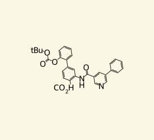 CC(C)(C)OC(=O)Oc1ccccc1-c1ccc(C(=O)O)c(NC(=O)c2cncc(-c3ccccc3)c2)c1